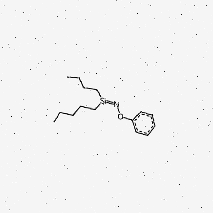 CCCCC[Si](CCCC)=NOc1ccccc1